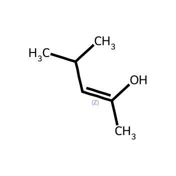 C/C(O)=C/C(C)C